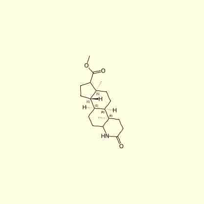 COC(=O)C1CC[C@H]2[C@@H]3CCC4NC(=O)CC[C@]4(C)[C@@H]3CC[C@]12C